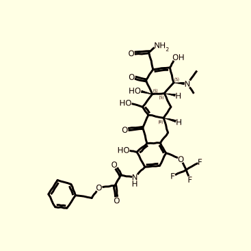 CN(C)[C@@H]1C(O)=C(C(N)=O)C(=O)[C@@]2(O)C(O)=C3C(=O)c4c(O)c(NC(=O)C(=O)OCc5ccccc5)cc(OC(F)(F)F)c4C[C@H]3C[C@@H]12